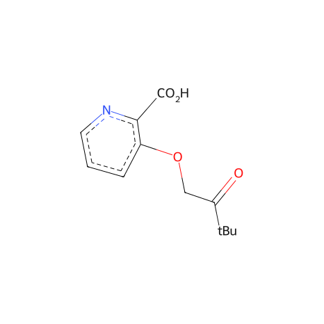 CC(C)(C)C(=O)COc1cccnc1C(=O)O